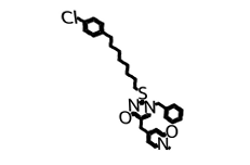 Cn1ccc(Cc2cn(Cc3ccccc3)c(SCCCCCCCCc3ccc(Cl)cc3)nc2=O)cc1=O